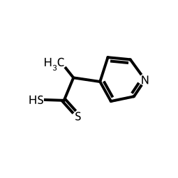 CC(C(=S)S)c1ccncc1